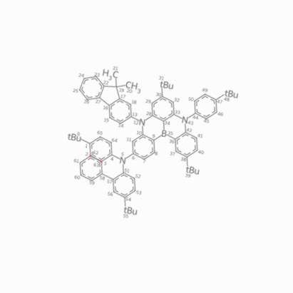 CC(C)(C)c1ccc(N(c2ccc3c(c2)N(c2ccc4c(c2)C(C)(C)c2ccccc2-4)c2cc(C(C)(C)C)cc4c2B3c2cc(C(C)(C)C)ccc2N4c2ccc(C(C)(C)C)cc2)c2ccc(C(C)(C)C)cc2-c2ccccc2)cc1